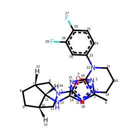 Cc1noc(N2C[C@H]3CC[C@@H](C2)[C@H]3Nc2nc3n(n2)CCCN3c2ccc(F)c(F)c2)n1